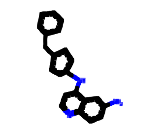 Nc1ccc2nccc(Nc3ccc(Cc4ccccc4)cc3)c2c1